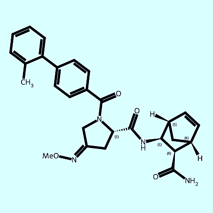 CON=C1C[C@@H](C(=O)N[C@@H]2[C@H](C(N)=O)[C@H]3C=C[C@@H]2C3)N(C(=O)c2ccc(-c3ccccc3C)cc2)C1